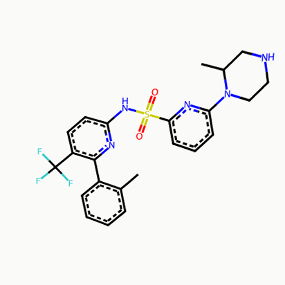 Cc1ccccc1-c1nc(NS(=O)(=O)c2cccc(N3CCNCC3C)n2)ccc1C(F)(F)F